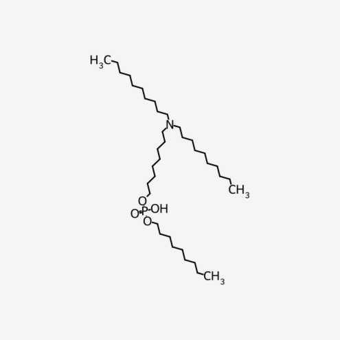 CCCCCCCCCCN(CCCCCCCCCC)CCCCCCCCOP(=O)(O)OCCCCCCCCC